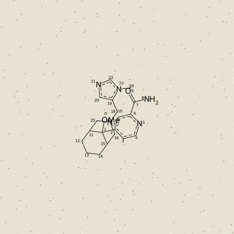 COC1(c2ccnc(C(N)=O)c2)C2CCCC1CN(Cc1cncn1C)C2